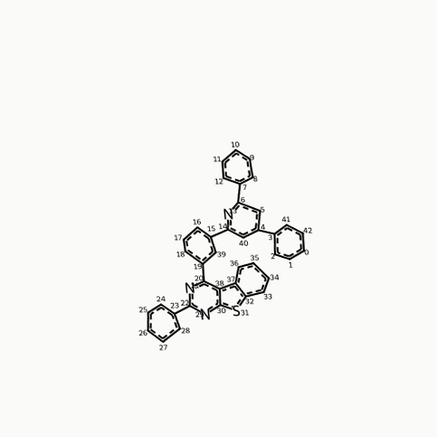 c1ccc(-c2cc(-c3ccccc3)nc(-c3cccc(-c4nc(-c5ccccc5)nc5sc6ccccc6c45)c3)c2)cc1